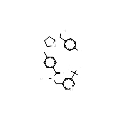 CN(Cc1cncc(C(C)(C)O)c1)C(=O)c1ccc(C[C@@H]2CC[C@H](C(O)c3ccc(Cl)cc3)N2)cc1